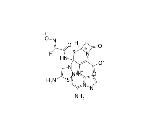 CON=C(F)C(=O)NC1(N2C=C(N)SN2)S[C@H]2CC(=O)N2C(C(=O)[O-])=C1[n+]1ccc(N)n2nccc21